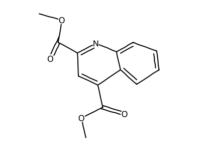 COC(=O)c1cc(C(=O)OC)c2ccccc2n1